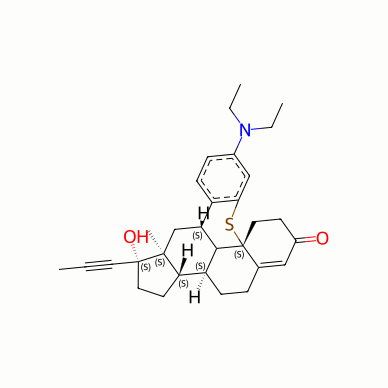 CC#C[C@]1(O)CC[C@H]2[C@@H]3CCC4=CC(=O)CC[C@@]45Sc4cc(N(CC)CC)ccc4[C@@H](C[C@@]21C)C35